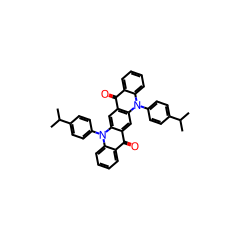 CC(C)c1ccc(-n2c3ccccc3c(=O)c3cc4c(cc32)c(=O)c2ccccc2n4-c2ccc(C(C)C)cc2)cc1